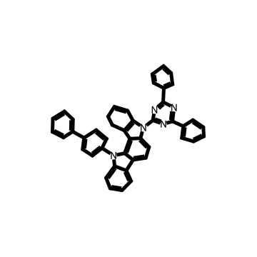 C1=Cc2c(c3c(ccc4c5ccccc5n(-c5ccc(-c6ccccc6)cc5)c43)n2-c2nc(-c3ccccc3)nc(-c3ccccc3)n2)CC1